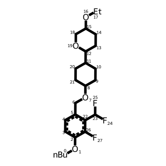 CCCCOc1ccc(COC2CCC(C3CCC(OCC)CO3)CC2)c(C(F)F)c1F